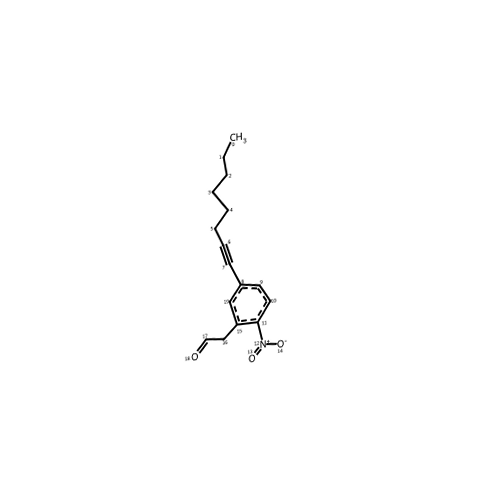 CCCCCCC#Cc1ccc([N+](=O)[O-])c(CC=O)c1